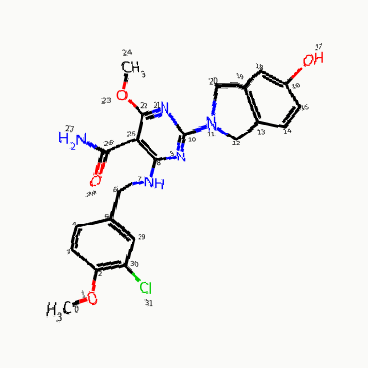 COc1ccc(CNc2nc(N3Cc4ccc(O)cc4C3)nc(OC)c2C(N)=O)cc1Cl